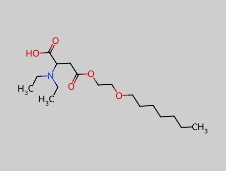 CCCCCCCOCCOC(=O)CC(C(=O)O)N(CC)CC